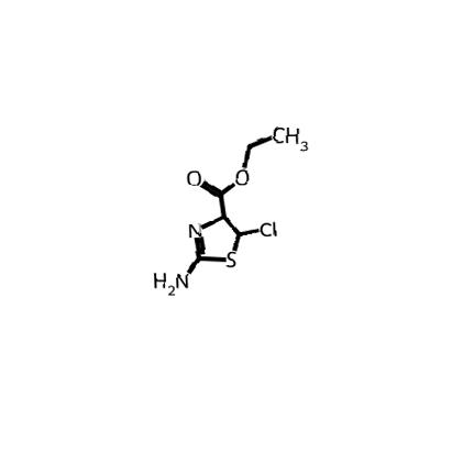 CCOC(=O)C1N=C(N)SC1Cl